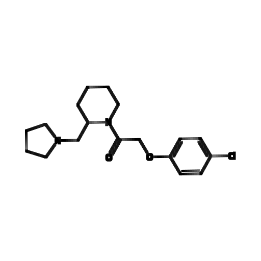 O=C(COc1ccc(Cl)cc1)N1CCCCC1CN1CCCC1